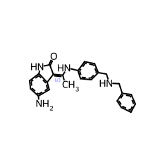 C/C(Nc1ccc(CNCc2ccccc2)cc1)=C1/C(=O)Nc2ccc(N)cc21